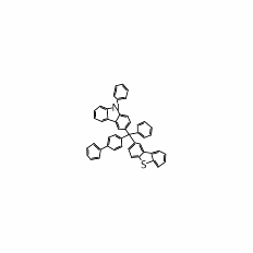 c1ccc(-c2ccc(C(c3ccccc3)(c3ccc4sc5ccccc5c4c3)c3ccc4c(c3)c3ccccc3n4-c3ccccc3)cc2)cc1